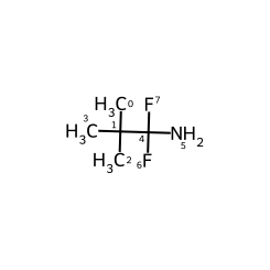 CC(C)(C)C(N)(F)F